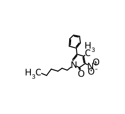 CCCCCCn1cc(-c2ccccc2)c(C)c([N+](=O)[O-])c1=O